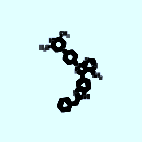 C[C@@H]1CN(C2CCC(n3nc(-c4ccc5[nH]c(Cc6ccccc6)nc5c4)c4c(N)ncnc43)CC2)C[C@H](C)N1